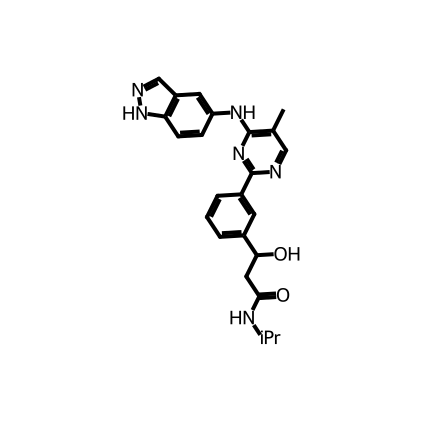 Cc1cnc(-c2cccc(C(O)CC(=O)NC(C)C)c2)nc1Nc1ccc2[nH]ncc2c1